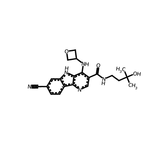 CC(C)(O)CCNC(=O)c1cnc2c([nH]c3cc(C#N)ccc32)c1NC1COC1